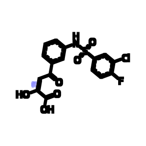 O=C(O)/C(O)=C\C(=O)c1cccc(NS(=O)(=O)c2ccc(F)c(Cl)c2)c1